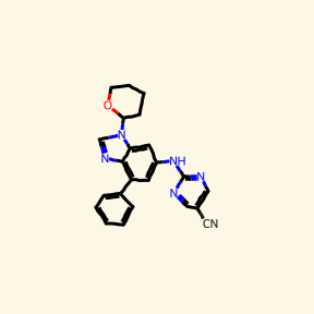 N#Cc1cnc(Nc2cc(-c3ccccc3)c3ncn(C4CCCCO4)c3c2)nc1